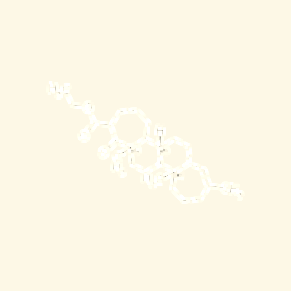 CCOC(=O)C1CCCC2[C@@H]3CCC4C=C(C)CCC[C@]4(C)C3CC[C@]2(C)C1=O